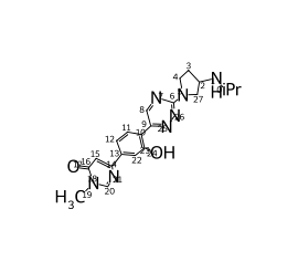 CC(C)NC1CCN(c2ncc(-c3ccc(-c4cc(=O)n(C)cn4)cc3O)nn2)C1